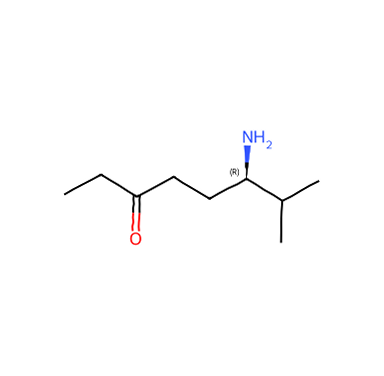 CCC(=O)CC[C@@H](N)C(C)C